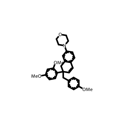 COc1ccc(CC2(c3ccc(OC)cc3OC)C=Cc3ccc(N4CCOCC4)cc3C2)cc1